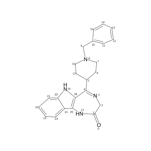 O=C1CN=C(C2CCN(Cc3ccccc3)CC2)c2[nH]c3ccccc3c2N1